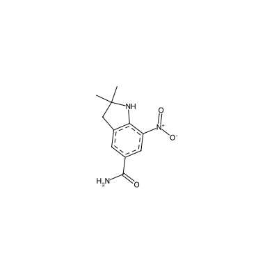 CC1(C)Cc2cc(C(N)=O)cc([N+](=O)[O-])c2N1